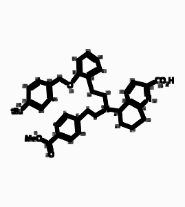 COC(=O)c1ccc(CCN(CCc2ccccc2OCc2ccc(C(C)(C)C)cc2)C2CCCc3nc(C(=O)O)ccc32)cc1